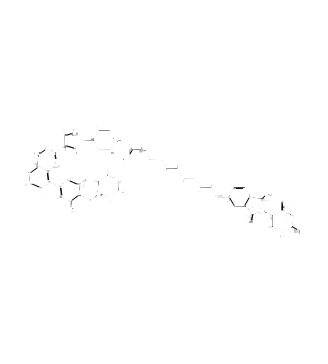 O=C(CN1CCC(n2cc(-c3cnc4cccc(-c5cc(F)c(CN6CCOCC6)c(F)c5)c4n3)cn2)CC1)NCCCCCCCCNc1ccc2c(c1)C(=O)N(C1CCC(=O)NC1=O)C2=O